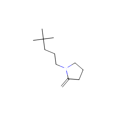 C=C1CCCN1CCCC(C)(C)C